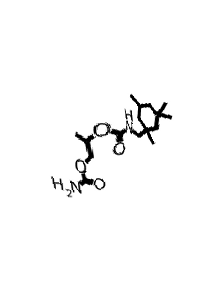 CC1CC(C)(C)CC(C)(CNC(=O)OC(C)COC(N)=O)C1